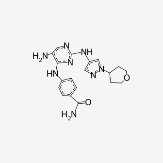 NC(=O)c1ccc(Nc2nc(Nc3cnn(C4CCOCC4)c3)ncc2N)cc1